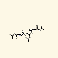 C=C(/C=C/C(=O)OC(C)C)OC(COC(=O)/C=C/C(=O)OC(C)C)CN(C)C